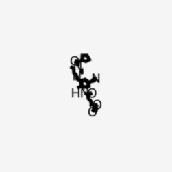 Cc1c(CN2CCN(C(=O)C3CCCC3)C(C)C2)cc(C#N)cc1NC(=O)CCCS(C)(=O)=O